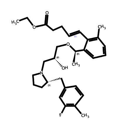 CCOC(=O)CC/C=C/c1c(C)cccc1[C@@H](C)OC[C@H](O)CN1CCC[C@H]1Cc1ccc(C)c(F)c1